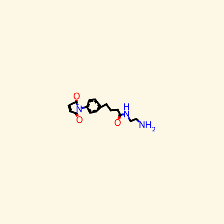 NCCNC(=O)CCCc1ccc(N2C(=O)C=CC2=O)cc1